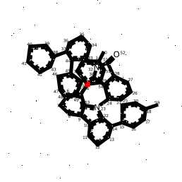 Cc1ccc(-c2cccc3c4cccc(-c5ccc(C)cc5)c4n(-c4cccc5c4C(=O)N(c4cccc(-c6ccccc6)c4-c4ccccc4)C5=O)c23)cc1